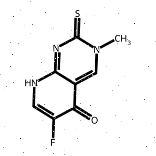 Cn1cc2c(=O)c(F)c[nH]c2nc1=S